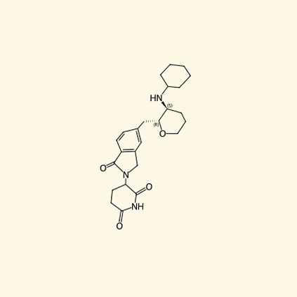 O=C1CCC(N2Cc3cc(C[C@H]4OCCC[C@@H]4NC4CCCCC4)ccc3C2=O)C(=O)N1